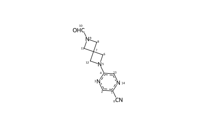 N#Cc1cnc(N2CC3(CN(C=O)C3)C2)cn1